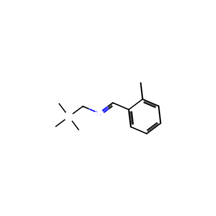 Cc1ccccc1C=NC[Si](C)(C)C